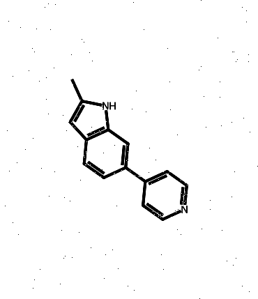 Cc1cc2ccc(-c3ccncc3)cc2[nH]1